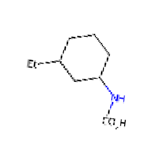 CCC1CCCC(NC(=O)O)C1